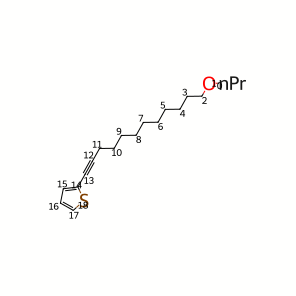 CCCOCCCCCCCCCCC#Cc1cccs1